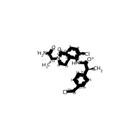 C[C@H](C(=O)Nc1c(Cl)ccc2c(=O)n([C@H](C)C(N)=O)ccc12)c1ccc(CCl)cc1